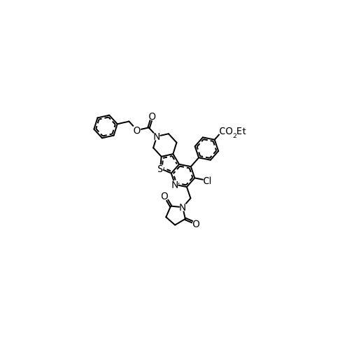 CCOC(=O)c1ccc(-c2c(Cl)c(CN3C(=O)CCC3=O)nc3sc4c(c23)CCN(C(=O)OCc2ccccc2)C4)cc1